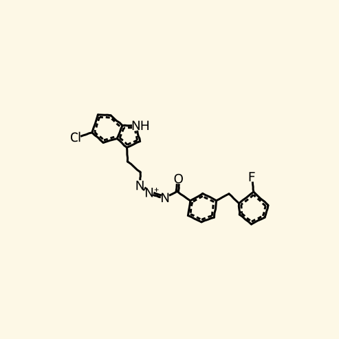 O=C(N=[N+]=NCCc1c[nH]c2ccc(Cl)cc12)c1cccc(Cc2ccccc2F)c1